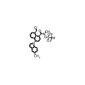 Cc1ccc2c(ccn2-c2ccc(C(=O)N(C)OS(=O)(=O)C(F)(F)F)c3c(C=O)cccc23)c1